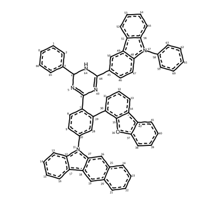 c1ccc(C2N=C(c3ccc(-n4c5ccccc5c5cc6ccccc6cc54)cc3-c3cccc4c3oc3ccccc34)N=C(c3ccc4c(c3)c3ccccc3n4-c3ccccc3)N2)cc1